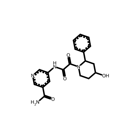 NC(=O)c1cncc(NC(=O)C(=O)N2CCC(O)CC2c2ccccc2)c1